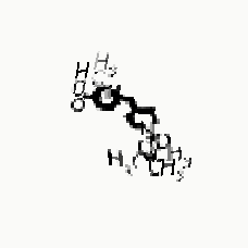 Cc1nc(C=C2CCN(C(=O)OC(C)(C)C)CC2)ccc1C(=O)O